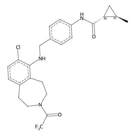 C[C@@H]1C[C@H]1C(=O)Nc1ccc(CNc2c(Cl)ccc3c2CCN(C(=O)C(F)(F)F)CC3)cc1